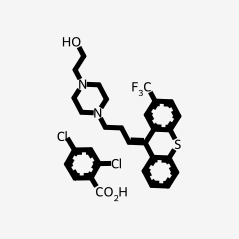 O=C(O)c1ccc(Cl)cc1Cl.OCCN1CCN(CC/C=C2/c3ccccc3Sc3ccc(C(F)(F)F)cc32)CC1